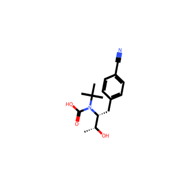 C[C@@H](O)[C@@H](Cc1ccc(C#N)cc1)N(C(=O)O)C(C)(C)C